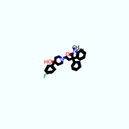 CN(C)C(=O)C(CCN1CCC(O)(c2ccc(F)cc2)CC1)(c1ccccc1)c1ccccc1